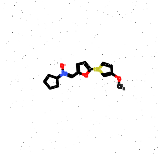 [O-][N+](=Cc1ccc([SH]2C=CC(OC(F)(F)F)=C2)o1)C1CCCC1